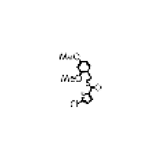 COc1ccc(CSC(=O)c2ccc(Cl)s2)c(OC)c1